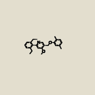 CCc1cccc(CC)c1-c1cc(OC)c(COc2cc(C)ccc2C)cn1